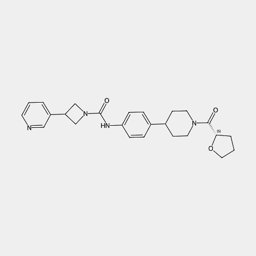 O=C(Nc1ccc(C2CCN(C(=O)[C@@H]3CCCO3)CC2)cc1)N1CC(c2cccnc2)C1